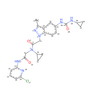 CC(=O)c1nn(CC(=O)N(CC(=O)Nc2cccc(Cl)n2)C2CC2)c2ccc(NC(=O)NC3CC3)cc12